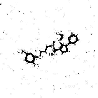 CN(CCCOc1cc([N+](=O)[O-])ccc1C#N)C(=N)C1=C(/N=C/Cl)C(c2ccccc2)CC1